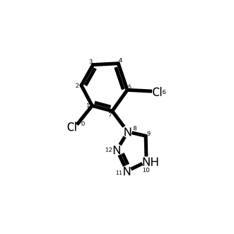 Clc1cccc(Cl)c1N1CNN=N1